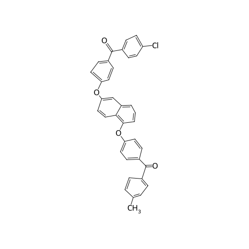 Cc1ccc(C(=O)c2ccc(Oc3cccc4cc(Oc5ccc(C(=O)c6ccc(Cl)cc6)cc5)ccc34)cc2)cc1